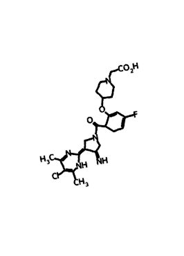 CC1=N/C(=C2\CN(C(=O)C3CC=C(F)C=C3OC3CCN(CC(=O)O)CC3)CC2=N)NC(C)=C1Cl